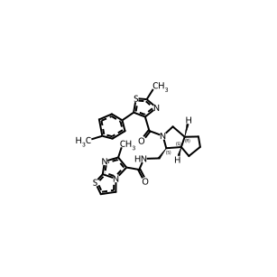 Cc1ccc(-c2sc(C)nc2C(=O)N2C[C@@H]3CCC[C@@H]3[C@H]2CNC(=O)c2c(C)nc3sccn23)cc1